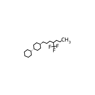 CCCC(CCC[C@H]1CC[C@H](C2CCCCC2)CC1)C(F)(F)F